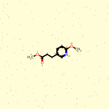 COC(=O)CCc1ccc(OC)nc1